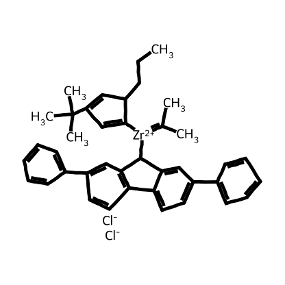 CCCC1C=C(C(C)(C)C)C=[C]1[Zr+2](=[C](C)C)[CH]1c2cc(-c3ccccc3)ccc2-c2ccc(-c3ccccc3)cc21.[Cl-].[Cl-]